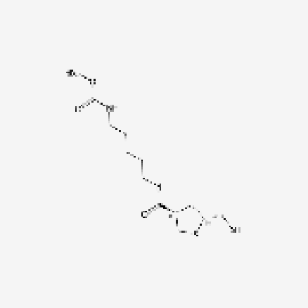 CC(C)(C)OC(=O)NCCCCCNC(=O)[C@@H]1CS[C@@H](CS)C1